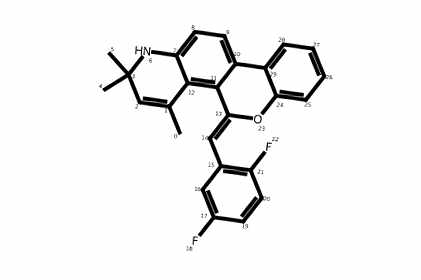 CC1=CC(C)(C)Nc2ccc3c(c21)C(=Cc1cc(F)ccc1F)Oc1ccccc1-3